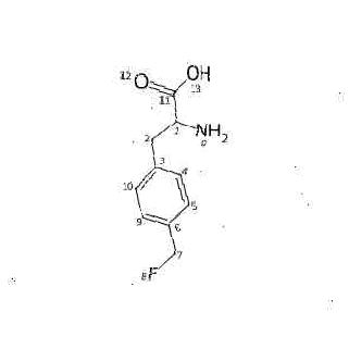 NC(Cc1ccc(CF)cc1)C(=O)O